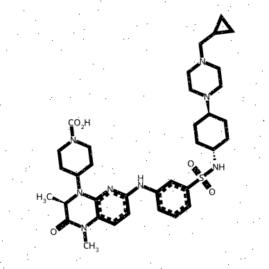 C[C@@H]1C(=O)N(C)c2ccc(Nc3cccc(S(=O)(=O)N[C@H]4CC[C@H](N5CCN(CC6CC6)CC5)CC4)c3)nc2N1C1CCN(C(=O)O)CC1